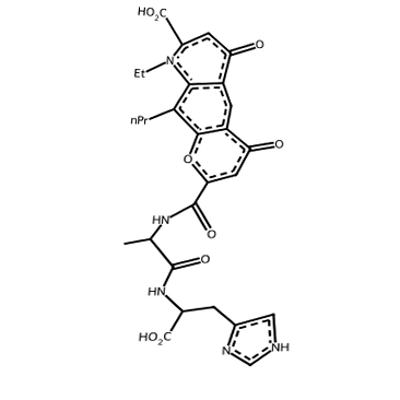 CCCc1c2oc(C(=O)NC(C)C(=O)NC(Cc3c[nH]cn3)C(=O)O)cc(=O)c2cc2c(=O)cc(C(=O)O)n(CC)c12